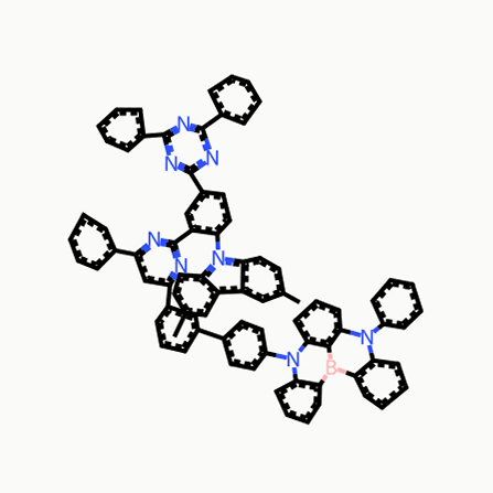 Cc1ccc2c(c1)c1cc(C)ccc1n2-c1ccc(-c2nc(-c3ccccc3)nc(-c3ccccc3)n2)cc1-c1nc(-c2ccccc2)cc(-c2cccc(-c3ccc(N4c5ccccc5B5c6ccccc6N(c6ccccc6)c6cccc4c65)cc3)c2)n1